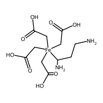 NCC[CH](N)[Fe]([CH2]C(=O)O)([CH2]C(=O)O)([CH2]C(=O)O)[CH2]C(=O)O